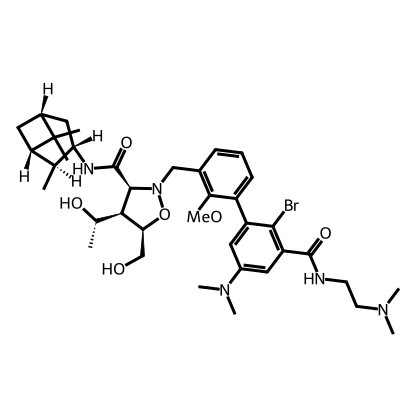 COc1c(CN2O[C@@H](CO)[C@@H]([C@H](C)O)[C@H]2C(=O)N[C@H]2C[C@H]3C[C@@H]([C@@H]2C)C3(C)C)cccc1-c1cc(N(C)C)cc(C(=O)NCCN(C)C)c1Br